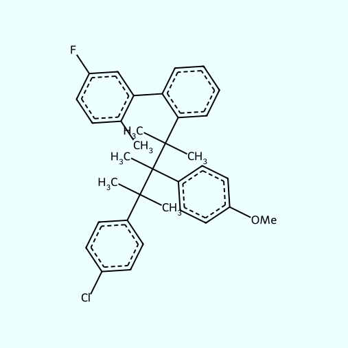 COc1ccc(C(C)(C(C)(C)c2ccc(Cl)cc2)C(C)(C)c2ccccc2-c2cc(F)ccc2C)cc1